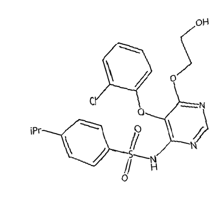 CC(C)c1ccc(S(=O)(=O)Nc2ncnc(OCCO)c2Oc2ccccc2Cl)cc1